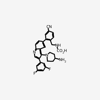 N#Cc1ccc(CNC(=O)O)c(-c2ccc3ncc(-c4cc(F)cc(F)c4)c(N4CCC(N)CC4)c3c2)c1